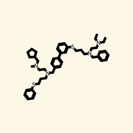 CCN(CC)CCN(CCCSc1cccc(-c2ccc(CN(CCCSc3ccccc3)CCN(C)CC3CCCC3)cc2)c1)Cc1ccccc1